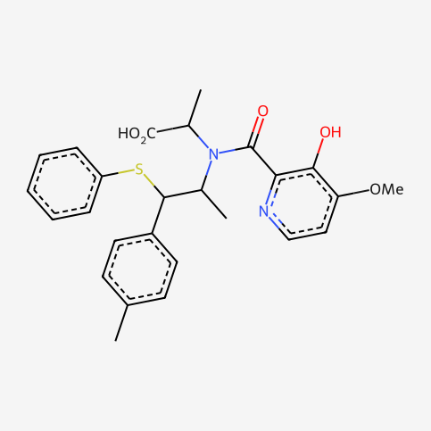 COc1ccnc(C(=O)N(C(C)C(=O)O)C(C)C(Sc2ccccc2)c2ccc(C)cc2)c1O